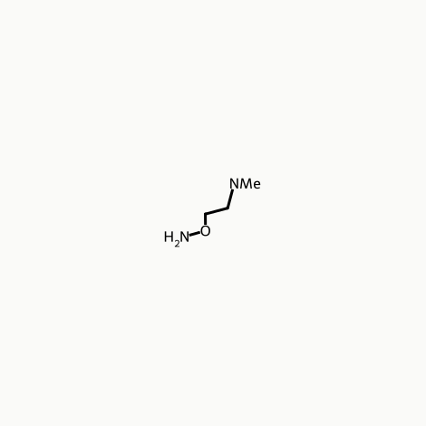 CNCCON